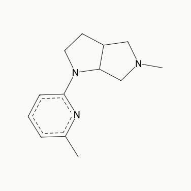 Cc1cccc(N2CCC3CN(C)CC32)n1